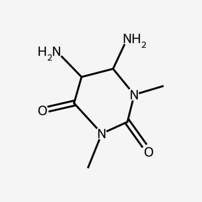 CN1C(=O)C(N)C(N)N(C)C1=O